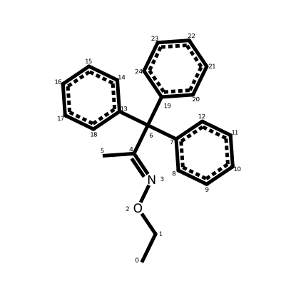 CCON=C(C)C(c1ccccc1)(c1ccccc1)c1ccccc1